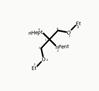 CCCCCCCC(CCCCC)(COCC)COCC